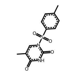 Cc1ccc(S(=O)(=O)n2cc(C)c(=O)[nH]c2=O)cc1